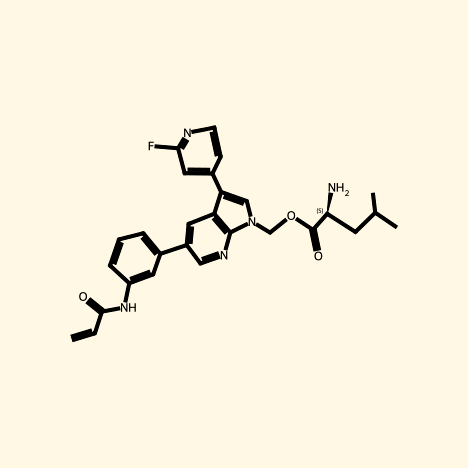 C=CC(=O)Nc1cccc(-c2cnc3c(c2)c(-c2ccnc(F)c2)cn3COC(=O)[C@@H](N)CC(C)C)c1